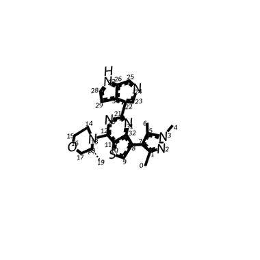 Cc1nn(C)c(C)c1-c1csc2c(N3CCOC[C@H]3C)nc(-c3cncc4[nH]ccc34)nc12